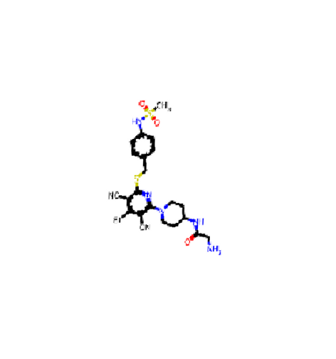 CCc1c(C#N)c(SCc2ccc(NS(C)(=O)=O)cc2)nc(N2CCC(NC(=O)CN)CC2)c1C#N